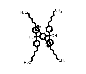 CCCCCCc1ccc(C(O)(c2ccc(CCCCCC)cc2)c2cc(-c3cccs3)c(C(O)(c3ccc(CCCCCC)cc3)c3ccc(CCCCCC)cc3)cc2-c2cccs2)cc1